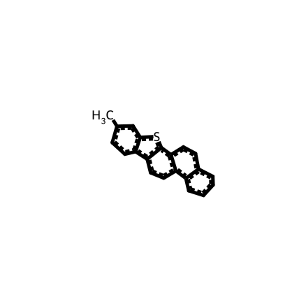 Cc1ccc2c(c1)sc1c2ccc2c3ccccc3ccc21